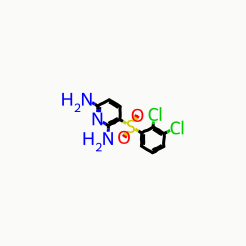 Nc1ccc(S(=O)(=O)c2cccc(Cl)c2Cl)c(N)n1